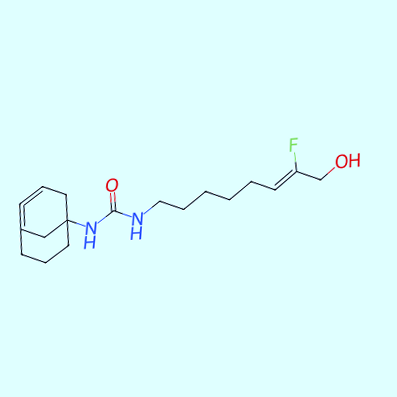 O=C(NCCCCC/C=C(\F)CO)NC12CC=C=C(CCC1)C2